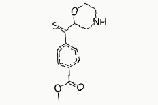 COC(=O)c1ccc(C(=S)C2CNCCO2)cc1